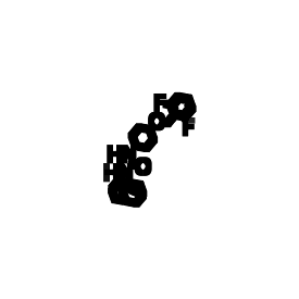 O=C(NC1CCC(OCc2c(F)cccc2F)CC1)NC12CC3CC(CC(C3)C1)C2